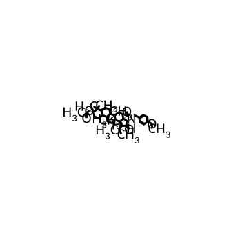 COc1ccc(CNC(=O)[C@@]23CC[C@]4(C)[C@H](CCC5[C@@]6(C)CC[C@H](OC(C)=O)C(C)(C)C6CC[C@]54C)C2=C(C(C)C)C(=O)C3)cc1